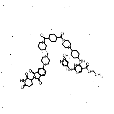 CCOC(=O)c1cnc(Nc2cnn(C)c2)nc1NC1CCC(N2CCN(C(=O)C3CCC(C(=O)N4CCC[C@@H](CN5CCN(c6ccc7c(c6)C(=O)N(C6CCC(=O)NC6=O)C7=O)CC5)C4)CC3)CC2)CC1